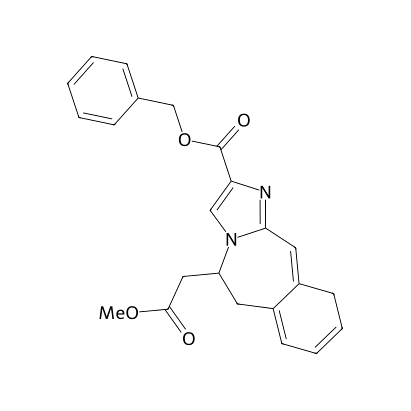 COC(=O)CC1CC2=CC=CCC2=Cc2nc(C(=O)OCc3ccccc3)cn21